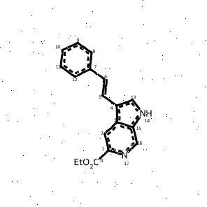 CCOC(=O)c1cc2c(C=Cc3ccccc3)c[nH]c2cn1